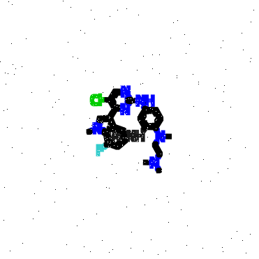 CC(=O)Nc1cc(Nc2ncc(Cl)c(-c3cn(C)c4c(F)cccc34)n2)ccc1N(C)CCN(C)C